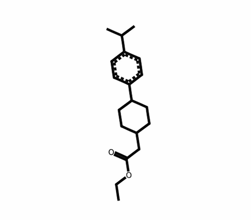 CCOC(=O)CC1CCC(c2ccc(C(C)C)cc2)CC1